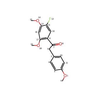 COc1ccc(CC(=O)c2cc(F)c(OC)cc2OC)cc1